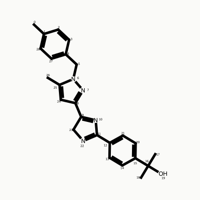 Cc1ccc(Cn2nc(C3=NC(c4ccc(C(C)(C)O)cc4)=NC3)cc2C)cc1